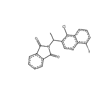 CC(c1cnc2c(F)cccc2c1Cl)N1C(=O)c2ccccc2C1=O